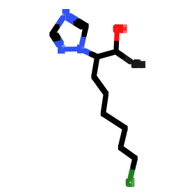 CC(C)(C)C(O)C(CCCCCCCl)n1cncn1